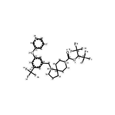 O=C(OC(C(F)(F)F)C(F)(F)F)N1CCC2(CCCN2Cc2cc(Oc3cccnc3)cc(C(F)(F)F)c2)CC1